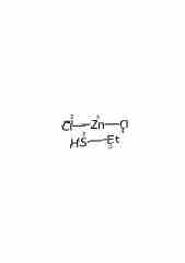 CCS.[Cl][Zn][Cl]